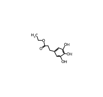 CCOC(=O)CCc1cc(O)c(O)c(O)c1